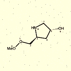 COOC[C@@H]1C[C@@H](O)CN1